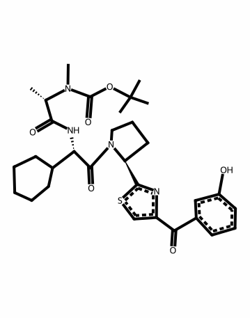 C[C@@H](C(=O)N[C@H](C(=O)N1CCC[C@H]1c1nc(C(=O)c2cccc(O)c2)cs1)C1CCCCC1)N(C)C(=O)OC(C)(C)C